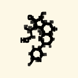 Cc1ccc(-c2ccc3ncc4c(c3n2)n([C@H](C)CO)c(=O)n4C)cn1